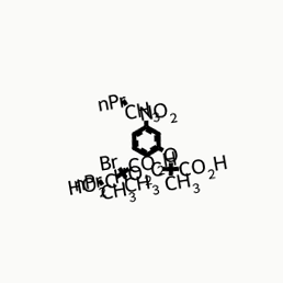 CC(Br)(C(=O)O)C(=O)O.CC(Oc1cccc([N+](=O)[O-])c1)(C(=O)O)C(=O)O.CCCC.CCCC